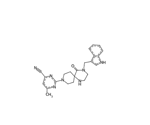 Cc1cc(C#N)nc(N2CCC3(CC2)NCCN(Cc2c[nH]c4ccccc24)C3=O)n1